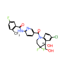 O=C(Nc1ccc(C(=O)N2CCC(F)(F)[C@](O)(CO)c3cc(Cl)ccc32)cn1)c1cc(F)ccc1C(F)(F)F